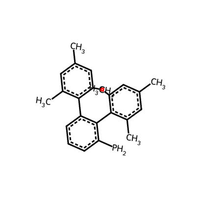 Cc1cc(C)c(-c2cccc(P)c2-c2c(C)cc(C)cc2C)c(C)c1